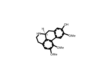 COc1cc2c(cc1O)C[C@@H]1NCCc3cc(OC)c(OC)c-2c31